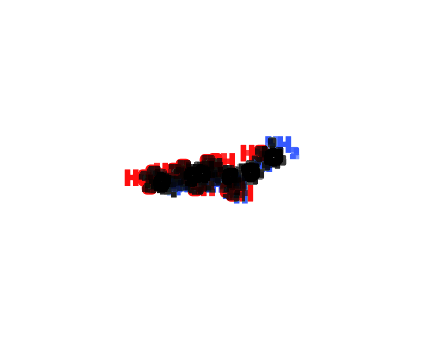 Nc1cccc(N=Nc2ccc(Nc3ccc(N=Nc4c(S(=O)(=O)O)cc5cc(S(=O)(=O)O)c(N=N[N]c6ccc(S(=O)(=O)O)cc6)c(O)c5c4N)cc3S(=O)(=O)O)cc2)c1O